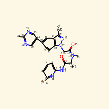 CC[C@H](C(=O)Nc1cccc(Br)n1)N(C)C(=O)Cn1nc(C(C)=O)c2cc(-c3cnc(C)nc3)ccc21